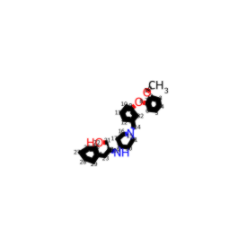 COc1ccccc1Oc1cccc(CN2CCC(N[C@H](CO)Cc3ccccc3)CC2)c1